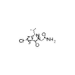 CC(C)c1nn(CC(N)=O)c(=O)c2sc(Cl)cc12